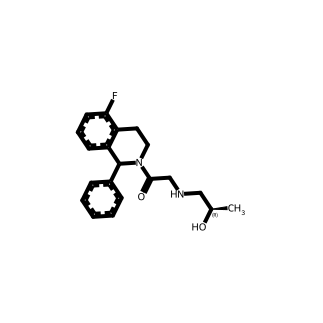 C[C@@H](O)CNCC(=O)N1CCc2c(F)cccc2C1c1ccccc1